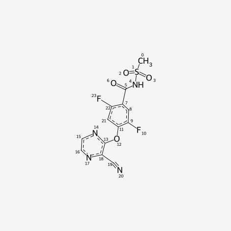 CS(=O)(=O)NC(=O)c1cc(F)c(Oc2nccnc2C#N)cc1F